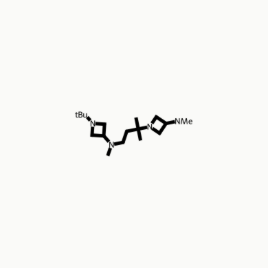 CNC1CN(C(C)(C)CCN(C)C2CN(C(C)(C)C)C2)C1